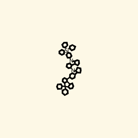 c1ccc(C2(c3ccccc3)c3ccccc3-c3c(-c4ccc5c6ccccc6n(-c6cccc7c6c6ccccc6n7-c6ccc([Si](c7ccccc7)(c7ccccc7)c7ccccc7)cc6)c5c4)cccc32)cc1